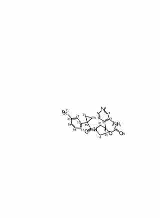 O=C1Nc2cnccc2C2(CCN(C(=O)C3(c4cccc(Br)c4)CC3)C2)O1